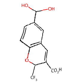 O=C(O)C1=Cc2cc(C(O)O)ccc2OC1C(F)(F)F